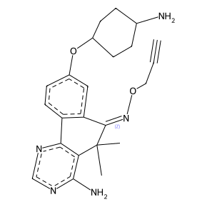 C#CCO/N=C1\c2cc(OC3CCC(N)CC3)ccc2-c2ncnc(N)c2C1(C)C